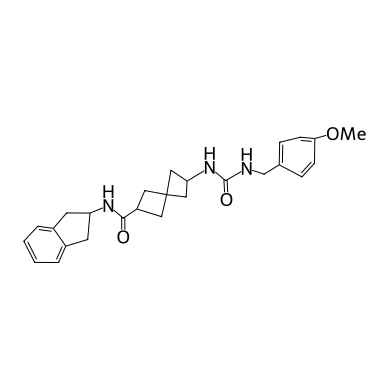 COc1ccc(CNC(=O)NC2CC3(C2)CC(C(=O)NC2Cc4ccccc4C2)C3)cc1